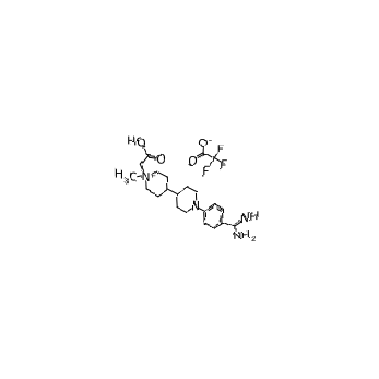 C[N+]1(CC(=O)O)CCC(C2CCN(c3ccc(C(=N)N)cc3)CC2)CC1.O=C([O-])C(F)(F)F